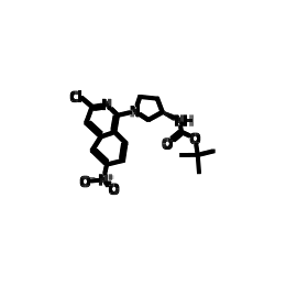 CC(C)(C)OC(=O)N[C@@H]1CCN(c2nc(Cl)cc3cc([N+](=O)[O-])ccc23)C1